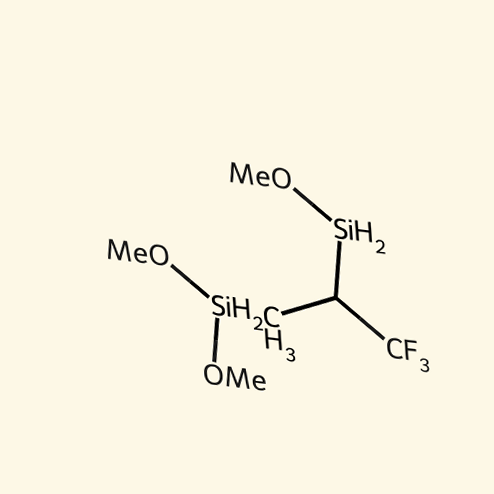 CO[SiH2]C(C)C(F)(F)F.CO[SiH2]OC